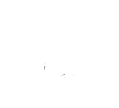 CC(=O)c1ccc(C(=O)N[C@@H]2CCCC[C@@H]2C(=O)NCC#N)cc1